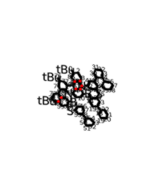 CC(C)(C)c1ccc(N2c3cc4c(cc3B3c5ccc(-c6ccccc6)cc5Sc5cc(-c6ccccc6-c6ccccc6)cc2c53)B2c3ccc(-c5ccccc5)cc3Sc3cc(C(C)(C)C)cc(c32)N4c2c(-c3ccccc3)cc(C(C)(C)C)cc2-c2ccccc2)cc1